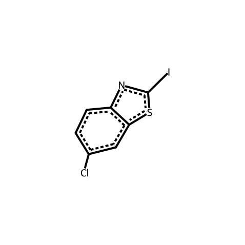 Clc1ccc2nc(I)sc2c1